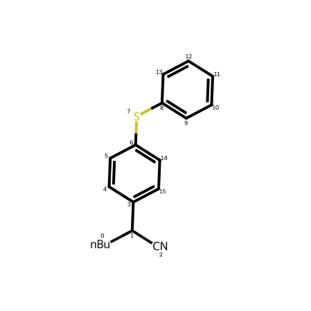 CCCCC(C#N)c1ccc(Sc2ccccc2)cc1